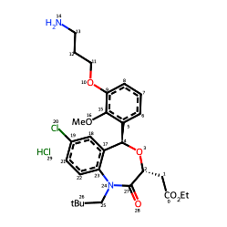 CCOC(=O)C[C@H]1O[C@H](c2cccc(OCCCN)c2OC)c2cc(Cl)ccc2N(CC(C)(C)C)C1=O.Cl